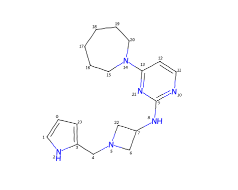 c1c[nH]c(CN2CC(Nc3nccc(N4CCCCCC4)n3)C2)c1